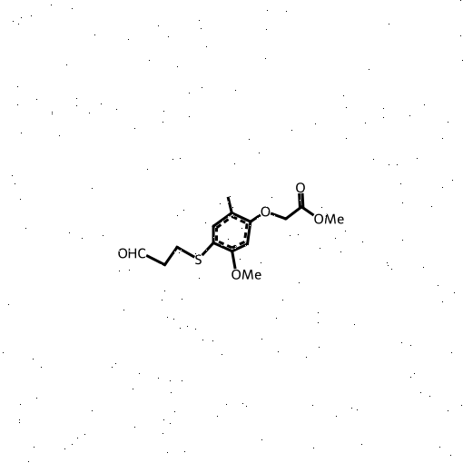 COC(=O)COc1cc(OC)c(SCCC=O)cc1C